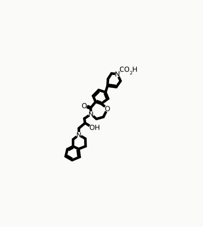 O=C(O)N1CC=C(c2ccc3c(c2)OCCN(CC(O)CN2CCc4ccccc4C2)C3=O)CC1